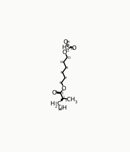 C=C(C)C(=O)OCCCCCCO[SH](=O)=O.[LiH]